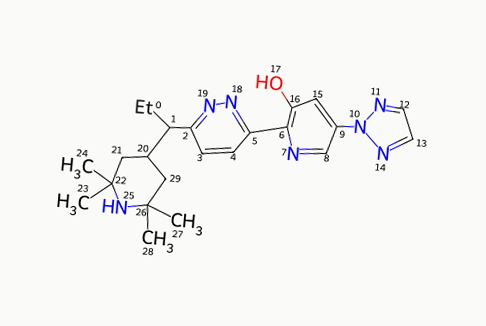 CCC(c1ccc(-c2ncc(-n3nccn3)cc2O)nn1)C1CC(C)(C)NC(C)(C)C1